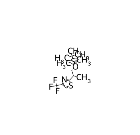 CC(CO[Si](C)(C)C(C)(C)C)c1nc(C(F)(F)F)cs1